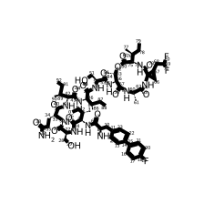 CC[C@H](C)[C@H](NC(=O)[C@H](N)Cc1ccc(-c2ccc(F)cc2)cc1)C(=O)N[C@@H](CO)C(=O)N[C@H](CCC(N)=O)C(=O)N[C@@H](C(=O)N[C@H](C(=O)N[C@@H](CO)C(=O)N[C@H]1C(=O)N[C@@H](C)C(=O)NC2(CC2CC(F)F)C(=O)N[C@@H]([C@@H](C)CC)C(=O)O[C@H]1C)[C@@H](C)CC)[C@@H](C)CC